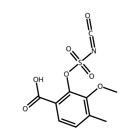 COc1c(C)ccc(C(=O)O)c1OS(=O)(=O)N=C=O